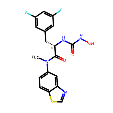 CN(C(=O)[C@H](Cc1cc(F)cc(F)c1)NC(=O)NO)c1ccc2scnc2c1